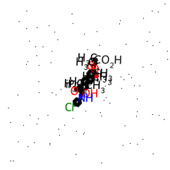 CC(C)C1=C2[C@@]([C@H](O)CNc3ccc(Cl)cc3)(CC[C@]3(C)[C@]2(C)CC[C@@H]2[C@@]4(C)CC[C@H](OC(=O)CC(C)(C)C(=O)O)C(C)(C)[C@@H]4CC[C@]23C)CC1=O